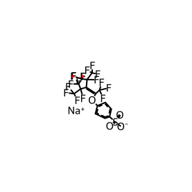 O=S(=O)([O-])c1ccc(OC(=C(C(F)(C(F)(F)F)C(F)(F)F)C(F)(C(F)(F)F)C(F)(F)F)C(F)(F)F)cc1.[Na+]